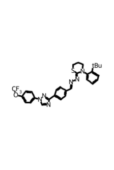 CC(C)(C)c1ccccc1N1CCCS/C1=N\N=C\c1ccc(-c2ncn(-c3ccc(OC(F)(F)F)cc3)n2)cc1